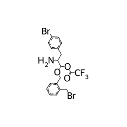 NC(Cc1ccc(Br)cc1)C(OCc1ccccc1CBr)OC(=O)C(F)(F)F